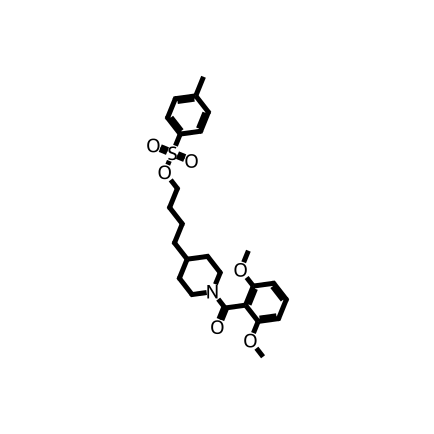 COc1cccc(OC)c1C(=O)N1CCC(CCCCOS(=O)(=O)c2ccc(C)cc2)CC1